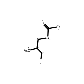 CCC(=O)OCC(CCl)OC(C)=O